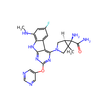 CNc1cc(F)cc2c1[nH]c1nc(Oc3cncnc3)nc(N3C[C@@H]4C(C)(C3)[C@@]4(N)C(N)=O)c12